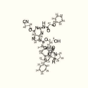 CO[C@@H](C)[C@@H](O[C@H](CO)CO[P@@]1O[C@H](C[Si](C)(c2ccccc2)c2ccccc2)[C@@H]2CCCN21)n1cnc2c(OCCC#N)nc(NC(=O)COc3ccccc3)nc21